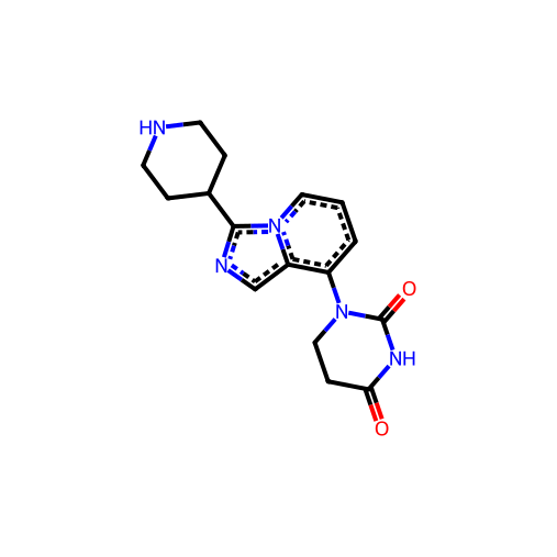 O=C1CCN(c2cccn3c(C4CCNCC4)ncc23)C(=O)N1